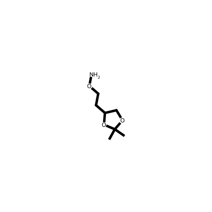 CC1(C)OCC(CCON)O1